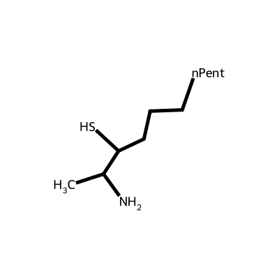 CCCCCCCCC(S)C(C)N